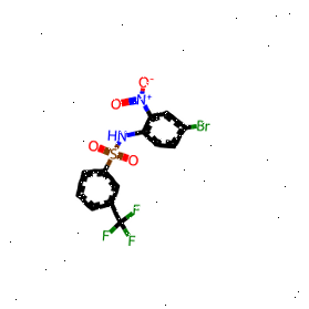 O=[N+]([O-])c1cc(Br)ccc1NS(=O)(=O)c1cccc(C(F)(F)F)c1